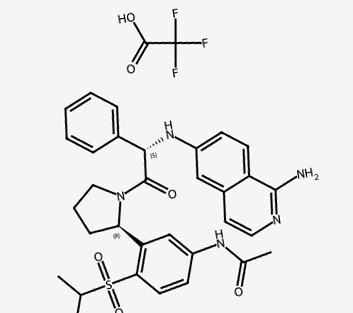 CC(=O)Nc1ccc(S(=O)(=O)C(C)C)c([C@H]2CCCN2C(=O)[C@@H](Nc2ccc3c(N)nccc3c2)c2ccccc2)c1.O=C(O)C(F)(F)F